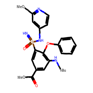 CCCCNc1cc(C(=O)OC)cc(S(=N)(=O)Nc2ccnc(OC)c2)c1Oc1ccccc1